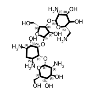 NC[C@@H]1O[C@H](O[C@@H]2[C@@H](O)[C@H](O[C@H]3[C@@H](O)[C@H](N)C[C@H](N)[C@H]3O[C@H]3O[C@H](CO)[C@@H](O)[C@H](O)[C@H]3N)O[C@@H]2CO)[C@H](N)[C@@H](O)C1O